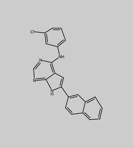 Clc1cccc(Nc2ncnc3[nH]c(-c4ccc5ccccc5c4)cc23)c1